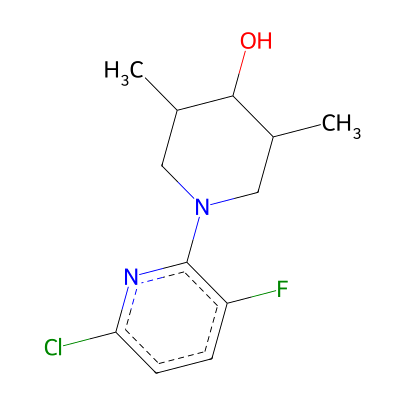 CC1CN(c2nc(Cl)ccc2F)CC(C)C1O